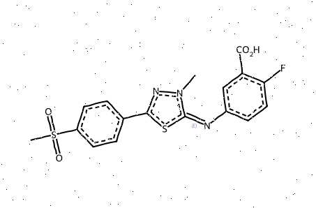 Cn1nc(-c2ccc(S(C)(=O)=O)cc2)s/c1=N/c1ccc(F)c(C(=O)O)c1